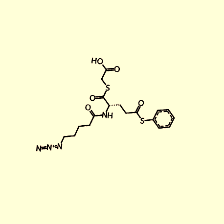 [N-]=[N+]=NCCCCC(=O)N[C@@H](CCC(=O)Sc1ccccc1)C(=O)SCC(=O)O